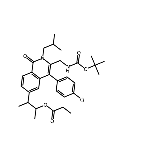 CCC(=O)OC(C)C(C)c1ccc2c(=O)n(CC(C)C)c(CNC(=O)OC(C)(C)C)c(-c3ccc(Cl)cc3)c2c1